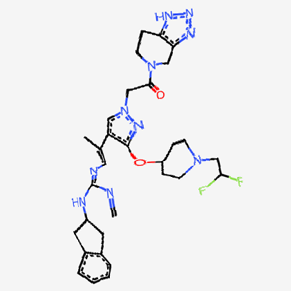 C=N/C(=N\C=C(/C)c1cn(CC(=O)N2CCc3[nH]nnc3C2)nc1OC1CCN(CC(F)F)CC1)NC1Cc2ccccc2C1